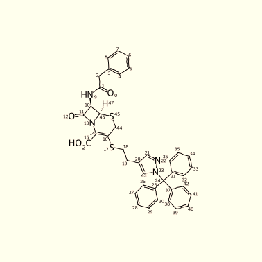 O=C(Cc1ccccc1)N[C@@H]1C(=O)N2C(C(=O)O)=C(SCCc3cnn(C(c4ccccc4)(c4ccccc4)c4ccccc4)c3)CS[C@H]12